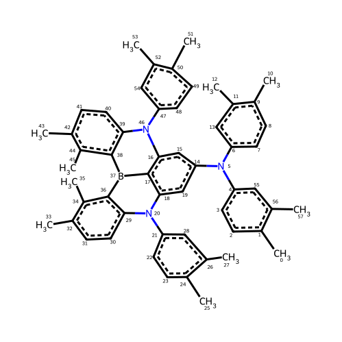 Cc1ccc(N(c2ccc(C)c(C)c2)c2cc3c4c(c2)N(c2ccc(C)c(C)c2)c2ccc(C)c(C)c2B4c2c(ccc(C)c2C)N3c2ccc(C)c(C)c2)cc1C